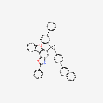 c1ccc(-c2cccc(C3(c4cc5nc(-c6ccccc6)oc5c5c4oc4ccccc45)CC3c3ccc(-c4ccc5ccccc5c4)cc3)c2)cc1